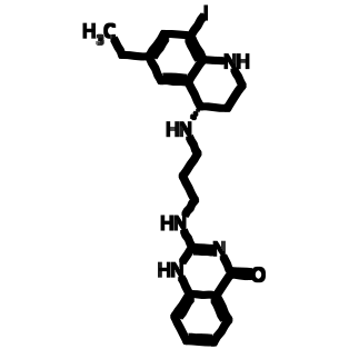 CCc1cc(I)c2c(c1)[C@@H](NCCCNc1nc(=O)c3ccccc3[nH]1)CCN2